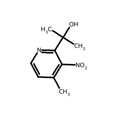 Cc1ccnc(C(C)(C)O)c1[N+](=O)[O-]